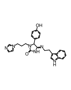 O=C1NC(=NCCc2c[nH]c3ccccc23)C(c2ccc(O)cc2)N1CCCn1ccnc1